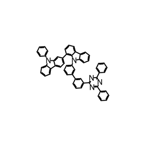 c1ccc(-c2nc(-c3ccccc3)nc(-c3cccc(-c4cccc(-n5c6ccccc6c6cccc(-c7ccc8c9ccccc9n(-c9ccccc9)c8c7)c65)c4)c3)n2)cc1